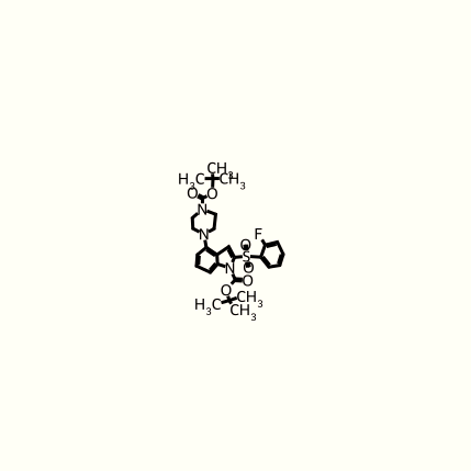 CC(C)(C)OC(=O)N1CCN(c2cccc3c2cc(S(=O)(=O)c2ccccc2F)n3C(=O)OC(C)(C)C)CC1